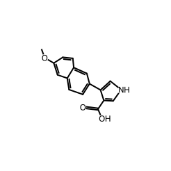 COc1ccc2cc(-c3c[nH]cc3C(=O)O)ccc2c1